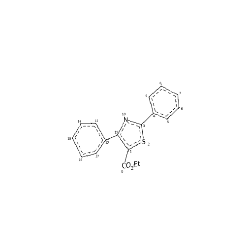 CCOC(=O)c1sc(-c2ccccc2)nc1-c1ccccc1